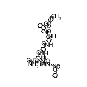 CC(C)C(NCC(=O)NCCNC(=O)OCc1ccccc1)C(=O)NC(CCCNC(N)=O)C(=O)Nc1ccc(C(=O)Nc2ccc3c(c2)CC(C(=O)N2CCc4c2cc(OC(=O)N2CCN(C)CC2)c2ccccc42)N3)cc1